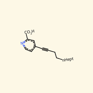 CCCCCCCCCC#Cc1ccnc(C(=O)O)c1